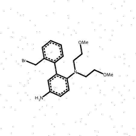 COCCN(CCOC)c1ccc(N)cc1-c1ccccc1CBr